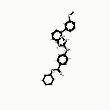 COc1cccc(-c2cccc3nc(Nc4ccc(C(=O)NC5CCCCC5)cc4)nn23)c1